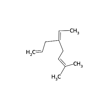 C=CC/C(=C/C)CC=C(C)C